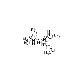 CCn1nccc1C(=O)N[C@H](c1cn2nc(C[C@H]3C[C@@H](C(F)(F)F)CNC3=O)c(C3CCC(C)(C)OC3)nc2n1)C1CCC(F)(F)CC1